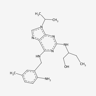 CCC(CO)Nc1nc(NCc2cc(C)ccc2N)c2ncn(C(C)C)c2n1